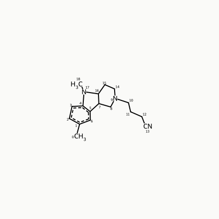 Cc1ccc2c(c1)C1CN(CCCC#N)CCC1N2C